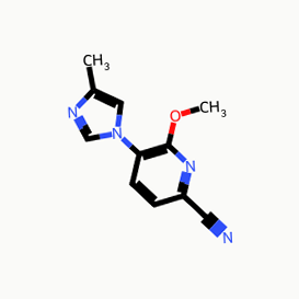 COc1nc(C#N)ccc1-n1cnc(C)c1